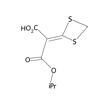 CC(C)OC(=O)C(C(=O)O)=C1SCS1